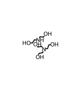 OCCN(CCO)CCO.OCCNCCO